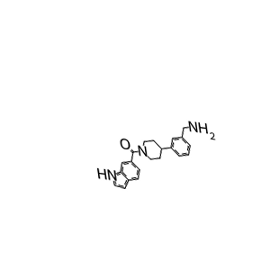 NCc1cccc(C2CCN(C(=O)c3ccc4cc[nH]c4c3)CC2)c1